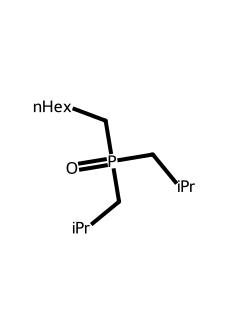 CCCCCCCP(=O)(CC(C)C)CC(C)C